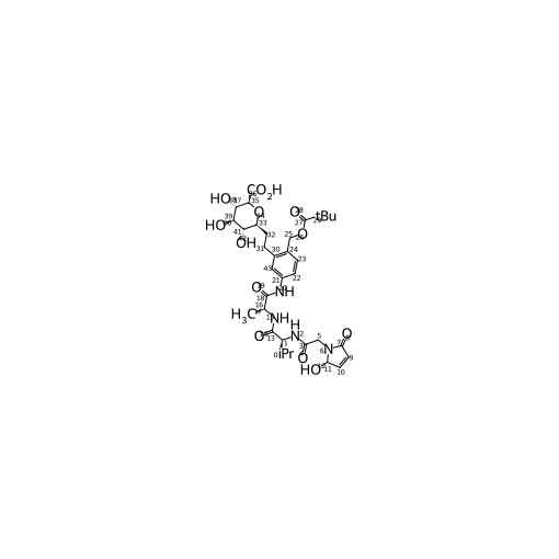 CC(C)[C@H](NC(=O)CN1C(=O)C=CC1O)C(=O)N[C@@H](C)C(=O)Nc1ccc(COC(=O)C(C)(C)C)c(CC[C@@H]2O[C@H](C(=O)O)[C@@H](O)[C@H](O)[C@H]2O)c1